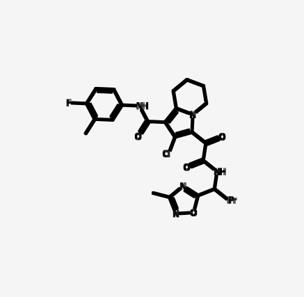 Cc1noc(C(NC(=O)C(=O)c2c(Cl)c(C(=O)Nc3ccc(F)c(C)c3)c3n2CCCC3)C(C)C)n1